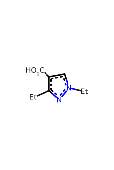 CCc1nn(CC)cc1C(=O)O